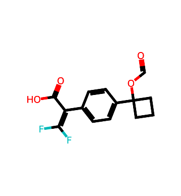 O=COC1(c2ccc(C(C(=O)O)=C(F)F)cc2)CCC1